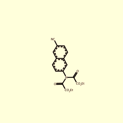 CCOC(=O)C(=O)N(C(=O)C(=O)OCC)c1ccc2cc(C#N)ccc2c1